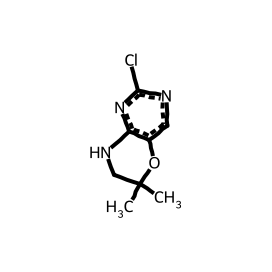 CC1(C)CNc2nc(Cl)ncc2O1